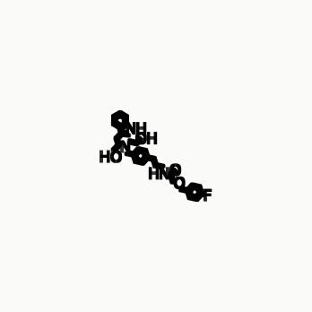 O=C(COCc1ccc(F)cc1)NCCCc1ccc(CN(CCO)C(CO)Cc2c[nH]c3ccccc23)cc1